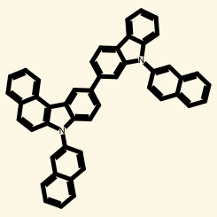 c1ccc2cc(-n3c4ccccc4c4ccc(-c5ccc6c(c5)c5c7ccccc7ccc5n6-c5ccc6ccccc6c5)cc43)ccc2c1